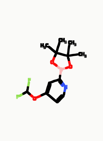 CC1(C)OB(c2cc(OC(F)F)ccn2)OC1(C)C